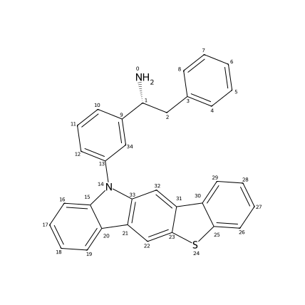 N[C@H](Cc1ccccc1)c1cccc(-n2c3ccccc3c3cc4sc5ccccc5c4cc32)c1